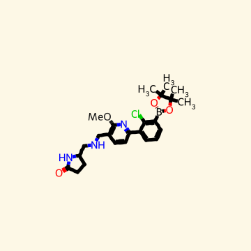 COc1nc(-c2cccc(B3OC(C)(C)C(C)(C)O3)c2Cl)ccc1CNCC1CCC(=O)N1